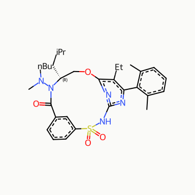 CCCCN(C)N1C(=O)c2cccc(c2)S(=O)(=O)Nc2nc(c(CC)c(-c3c(C)cccc3C)n2)OC[C@H]1CC(C)C